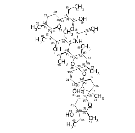 C#CCNC([C@@H](C)[C@@H](O)[C@H](C)[C@@H]1O[C@@H]([C@@H](CC)C(=O)O)CC[C@@H]1C)[C@H](CC)[C@H]1OC2(C=C[C@@H](O)[C@]3(CC[C@@](C)([C@H]4CC[C@](O)(CC)[C@H](C)O4)O3)O2)[C@H](C)C[C@@H]1C